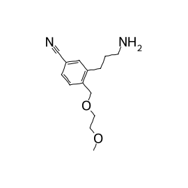 COCCOCc1ccc(C#N)cc1CCCN